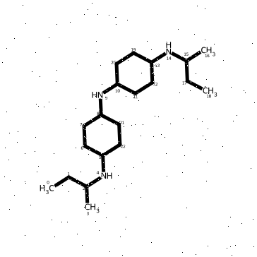 CCC(C)NC1CCC(NC2CCC(NC(C)CC)CC2)CC1